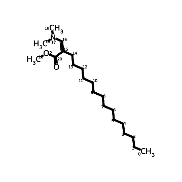 CCCCCCCCCCCCCCCC(=CN(C)C)C(=O)OC